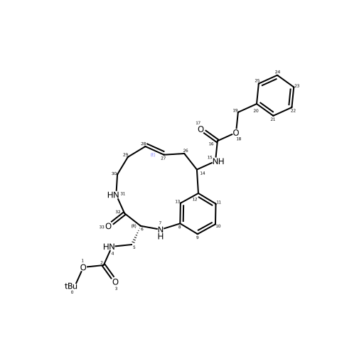 CC(C)(C)OC(=O)NC[C@H]1Nc2cccc(c2)C(NC(=O)OCc2ccccc2)C/C=C/CCNC1=O